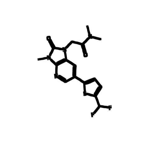 CN(C)C(=O)Cn1c(=O)n(C)c2ncc(-c3ccc(C(F)F)s3)cc21